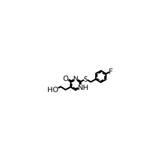 O=c1nc(SCc2ccc(F)cc2)[nH]cc1CCO